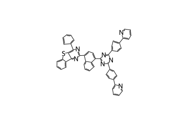 c1ccc(-c2nc(-c3ccc(-c4nc(-c5ccc(-c6ccccn6)cc5)nc(-c5ccc(-c6ccccn6)cc5)n4)c4ccccc34)nc3c2sc2ccccc23)cc1